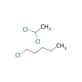 CC(Cl)Cl.CCCCCCl